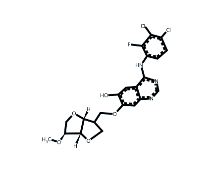 CO[C@H]1CO[C@@H]2C(COc3cc4ncnc(Nc5ccc(Cl)c(Cl)c5F)c4cc3O)CO[C@H]12